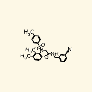 Cc1ccc(S(=O)(=O)N(CC(=O)NCc2cccc(C#N)c2)c2cccc(C)c2C)cc1